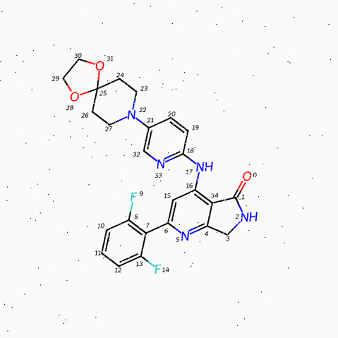 O=C1NCc2nc(-c3c(F)cccc3F)cc(Nc3ccc(N4CCC5(CC4)OCCO5)cn3)c21